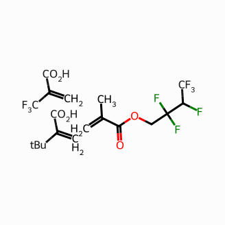 C=C(C(=O)O)C(C)(C)C.C=C(C(=O)O)C(F)(F)F.C=C(C)C(=O)OCC(F)(F)C(F)C(F)(F)F